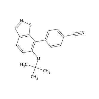 CC(C)(C)Oc1ccc2cnsc2c1-c1ccc(C#N)cc1